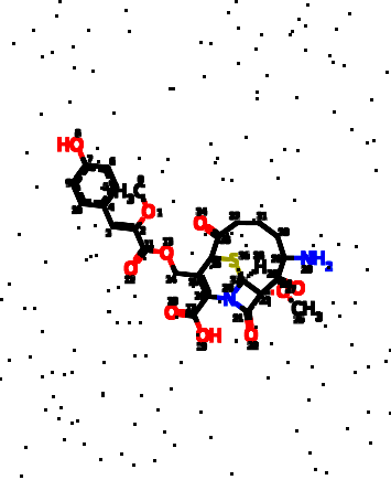 COC(=Cc1ccc(O)cc1)C(=O)OCC1=C(C(=O)O)N2C(=O)[C@]3(OC)C(=O)C(N)CCCC(=O)C1S[C@H]23